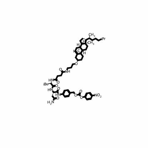 CC[C@H](C)[C@H](NC(=O)CCC(=O)NCCCO[C@H]1CC[C@@]2(C)C(=CC[C@H]3[C@@H]4CC[C@H]([C@H](C)CCCC(C)C)[C@@]4(C)CC[C@@H]32)C1)C(=O)N[C@@H](CC(N)=O)C(=O)Nc1ccc(COC(=O)Oc2ccc([N+](=O)[O-])cc2)cc1